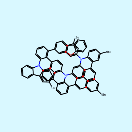 CC(C)(C)c1ccc(-c2cc(N(c3cccc(C(C)(C)C)c3)c3ccc(C(C)(C)C)cc3-c3ccccc3)cc(N(c3ccc(-c4c(-c5ccc6c(c5)oc5ccccc56)cccc4-n4c5ccccc5c5cc(C#N)ccc54)cc3)c3c(-c4ccccc4)cccc3-c3ccccc3)c2)cc1